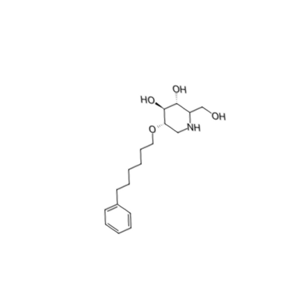 OCC1NC[C@H](OCCCCCCc2ccccc2)[C@@H](O)[C@@H]1O